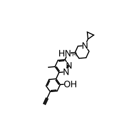 C#Cc1ccc(-c2nnc(N[C@@H]3CCCN(C4CC4)C3)cc2C)c(O)c1